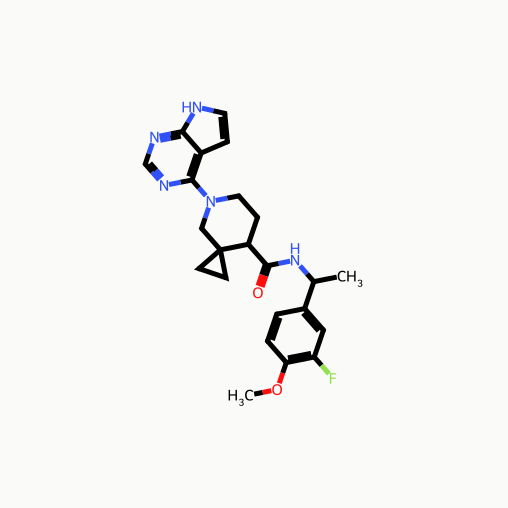 COc1ccc(C(C)NC(=O)C2CCN(c3ncnc4[nH]ccc34)CC23CC3)cc1F